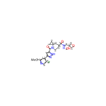 COc1cc(-c2cc(C(=O)N3CC[C@H](C(=O)NCC4(O)COC4)CC34CC4)[nH]n2)c(F)cn1